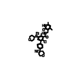 CCN(c1cc(-c2ccc(C3(C#N)CCOCC3)cc2)c(Cl)c(C(=O)NCc2c(C)cc(C)[nH]c2=O)c1C)C1CCOCC1